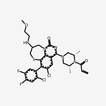 C=CC(=O)N1[C@H](C)CN(c2nc(=O)n3c4c(c(-c5cc(F)c(F)cc5Cl)c(Cl)cc24)SCC(NCCOC)C3)C[C@@H]1C